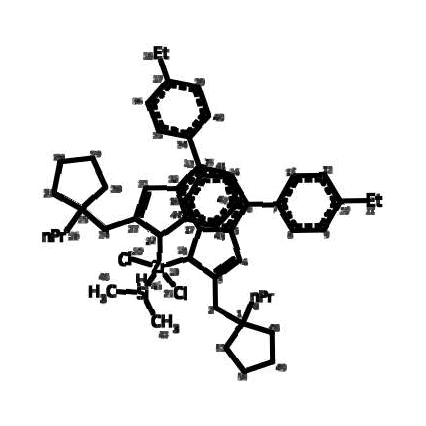 CCCC1(CC2=Cc3c(-c4ccc(CC)cc4)cccc3[CH]2[Zr]([Cl])([Cl])([CH]2C(CC3(CCC)CCCC3)=Cc3c(-c4ccc(CC)cc4)cccc32)[SiH](C)C)CCCC1